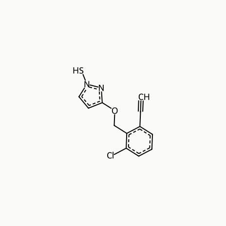 C#Cc1cccc(Cl)c1COc1ccn(S)n1